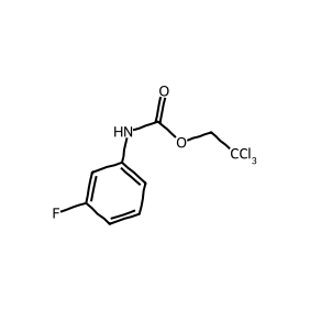 O=C(Nc1cccc(F)c1)OCC(Cl)(Cl)Cl